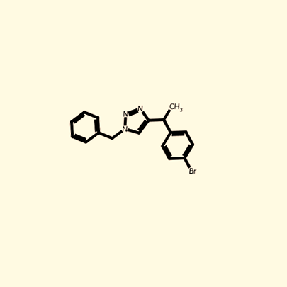 CC(c1ccc(Br)cc1)c1cn(Cc2ccccc2)nn1